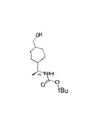 C[C@H](NC(=O)OC(C)(C)C)C1CCC(CO)CC1